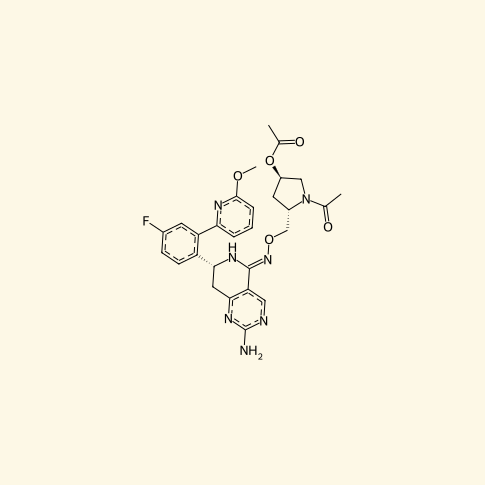 COc1cccc(-c2cc(F)ccc2[C@H]2Cc3nc(N)ncc3/C(=N/OC[C@@H]3C[C@@H](OC(C)=O)CN3C(C)=O)N2)n1